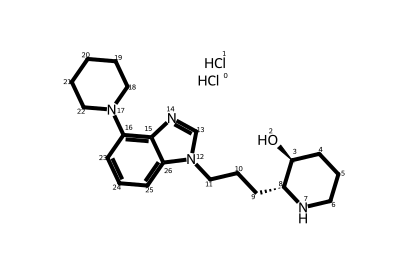 Cl.Cl.O[C@H]1CCCN[C@@H]1CCCn1cnc2c(N3CCCCC3)cccc21